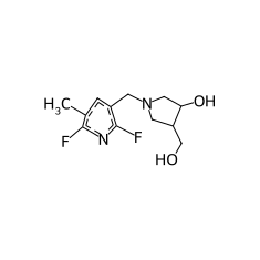 Cc1cc(CN2CC(O)C(CO)C2)c(F)nc1F